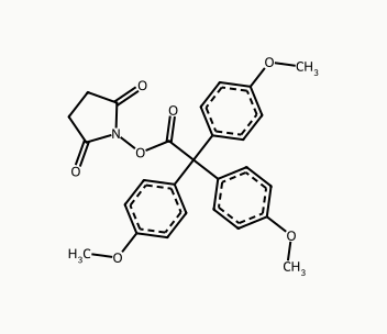 COc1ccc(C(C(=O)ON2C(=O)CCC2=O)(c2ccc(OC)cc2)c2ccc(OC)cc2)cc1